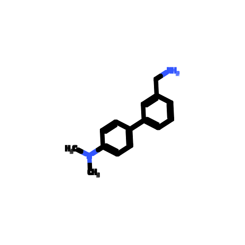 CN(C)c1ccc(-c2cccc(CN)c2)cc1